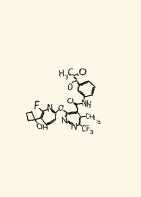 Cc1c(C(F)(F)F)nnc(Oc2ccc(C3(O)CCC3)c(F)n2)c1C(=O)Nc1cccc(S(C)(=O)=O)c1